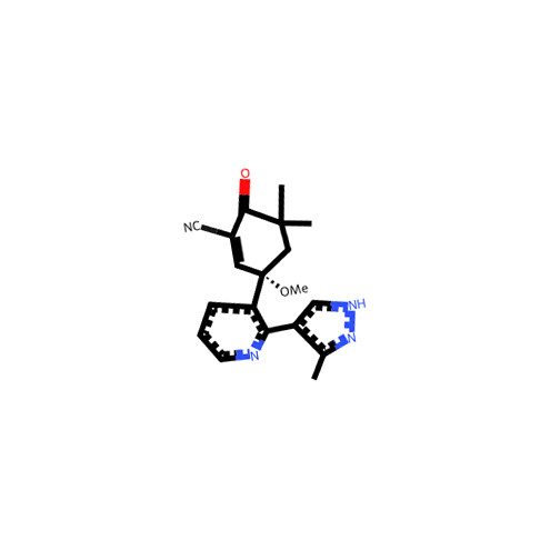 CO[C@]1(c2cccnc2-c2c[nH]nc2C)C=C(C#N)C(=O)C(C)(C)C1